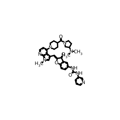 CN(C)C1CCN(C(=O)C2CCN(c3ccnc4c3c(C=C3Oc5ccc(NC(=O)Nc6cccnc6)cc5C3=O)cn4C)CC2)C1